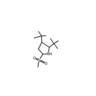 CC(C)(C)C1CC(S(C)(=O)=O)NC1C(C)(C)C